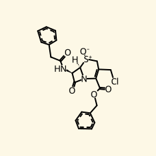 O=C(Cc1ccccc1)N[C@@H]1C(=O)N2C(C(=O)OCc3ccccc3)=C(CCl)C[S+]([O-])[C@H]12